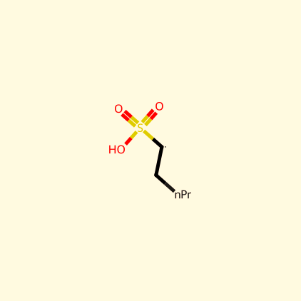 CCCC[CH]S(=O)(=O)O